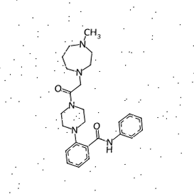 CN1CCCN(CC(=O)N2CCN(c3ccccc3C(=O)Nc3ccccc3)CC2)CC1